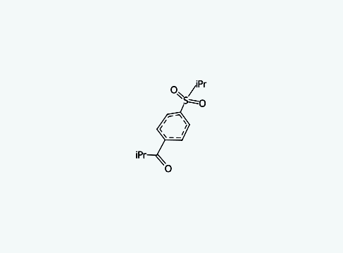 CC(C)C(=O)c1ccc(S(=O)(=O)C(C)C)cc1